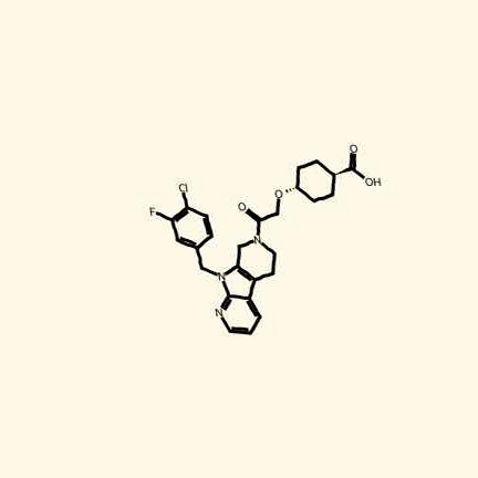 O=C(CO[C@H]1CC[C@H](C(=O)O)CC1)N1CCc2c(n(Cc3ccc(Cl)c(F)c3)c3ncccc23)C1